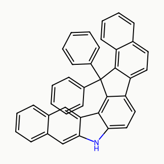 c1ccc(C2(c3ccccc3)c3c(ccc4ccccc34)-c3ccc4[nH]c5cc6ccccc6cc5c4c32)cc1